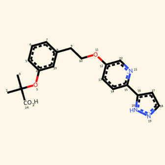 CC(C)(Oc1cccc(CCOc2ccc(-c3ccn[nH]3)nc2)c1)C(=O)O